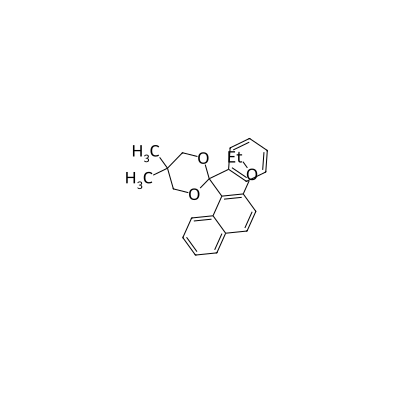 CCOc1ccc2ccccc2c1C1(c2ccccc2)OCC(C)(C)CO1